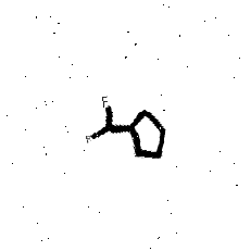 FC(F)C1C[CH]CC1